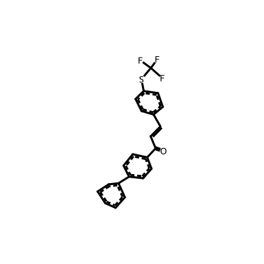 O=C(C=Cc1ccc(SC(F)(F)F)cc1)c1ccc(-c2ccccc2)cc1